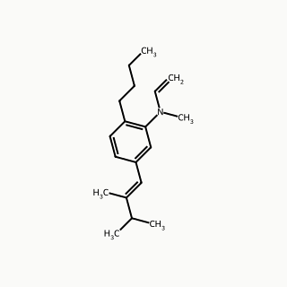 C=CN(C)c1cc(/C=C(\C)C(C)C)ccc1CCCC